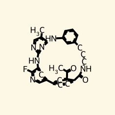 CC(=O)c1cc2ccc1C(=O)NCCCc1cccc(c1)Nc1nc(ncc1C)Nc1cc-2cnc1F